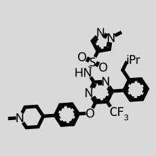 CC(C)Cc1ccccc1-c1nc(NS(=O)(=O)c2cnn(C)c2)nc(Oc2ccc(C3CCN(C)CC3)cc2)c1C(F)(F)F